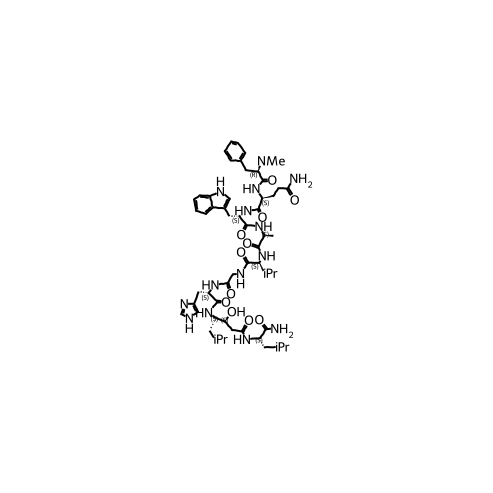 CN[C@H](Cc1ccccc1)C(=O)N[C@@H](CCC(N)=O)C(=O)N[C@@H](Cc1c[nH]c2ccccc12)C(=O)N[C@@H](C)C(=O)N[C@H](C(=O)NCC(=O)N[C@@H](Cc1c[nH]cn1)C(=O)N[C@@H](CC(C)C)[C@@H](O)CC(=O)N[C@@H](CC(C)C)C(N)=O)C(C)C